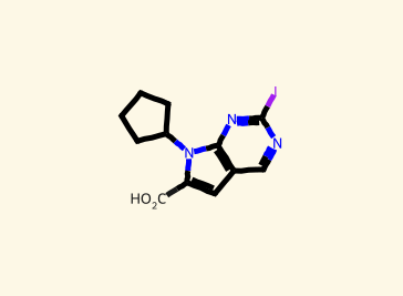 O=C(O)c1cc2cnc(I)nc2n1C1CCCC1